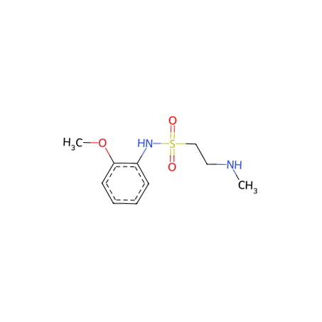 CNCCS(=O)(=O)Nc1ccccc1OC